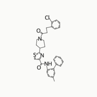 Cc1ccc(NC(=O)c2csc(C3CCN(C(=O)CCc4ccccc4Cl)CC3)n2)c(-c2ccccc2)c1